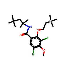 COc1c(Br)cc(C(=O)NC(C)(C)CC(C)(C)C)c(OCC[Si](C)(C)C)c1Cl